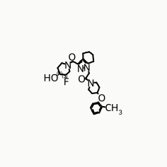 Cc1ccccc1OC1CCN(C(=O)Cn2nc(C(=O)N3CC[C@@H](O)[C@@H](F)C3)c3c2CCCC3)CC1